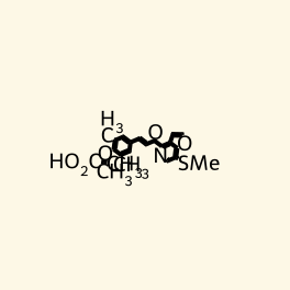 CSc1cnc(C(=O)/C=C/c2cc(C)c(OC(C)(C)C(=O)O)c(C)c2)c2ccoc12